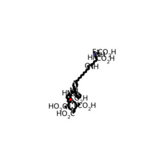 CC/C=C(\NCC(=O)O)NC(CCCCNC(=O)CCCCCCCCCCN1CCN(c2nc(Nc3ccc(CC4CN(CC(=O)O)CCN(CC(=O)O)CCN(CC(=O)O)CCN4CC(=O)O)cc3)nc(N3CCCCC3)n2)CC1)C(=O)O